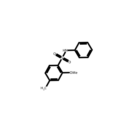 COc1cc(C)ccc1S(=O)(=O)Nc1c[c]ccc1